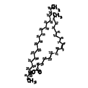 CCCCCCCC/C=C\CCCCCCCC(=O)O.CCCCCCCCCCCCCCCCCCCCC